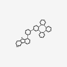 c1cc(-c2ccc3c(c2)-c2ccccc2-c2ccccc2-c2ccccc2-3)cc(-c2cccc3c2sc2ccncc23)c1